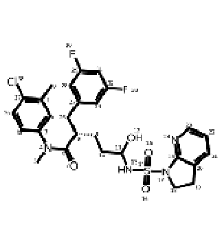 Cc1cc(N(C)C(=O)[C@@H](CCC(O)NS(=O)(=O)N2CCc3cccnc32)Cc2cc(F)cc(F)c2)ccc1Cl